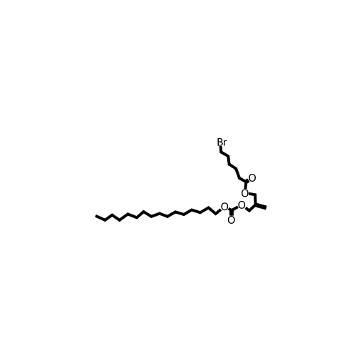 C=C(COC(=O)CCCCCBr)COC(=O)OCCCCCCCCCCCCCCCC